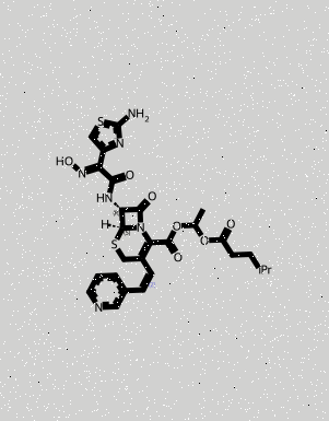 CC(C)CCC(=O)OC(C)OC(=O)C1=C(/C=C\c2cccnc2)CS[C@H]2[C@H](NC(=O)C(=NO)c3csc(N)n3)C(=O)N12